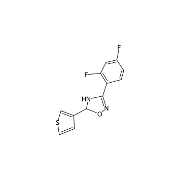 Fc1ccc(C2=NOC(c3ccsc3)N2)c(F)c1